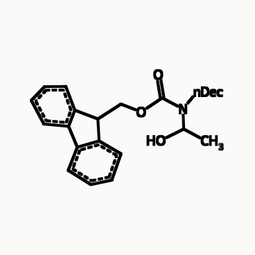 CCCCCCCCCCN(C(=O)OCC1c2ccccc2-c2ccccc21)C(C)O